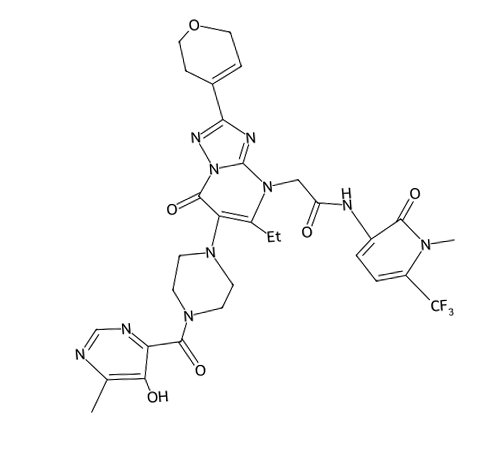 CCc1c(N2CCN(C(=O)c3ncnc(C)c3O)CC2)c(=O)n2nc(C3=CCOCC3)nc2n1CC(=O)Nc1ccc(C(F)(F)F)n(C)c1=O